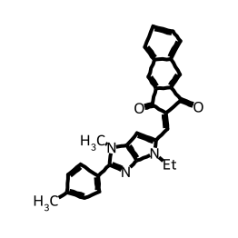 CCn1c(C=C2C(=O)c3cc4ccccc4cc3C2=O)cc2c1nc(-c1ccc(C)cc1)n2C